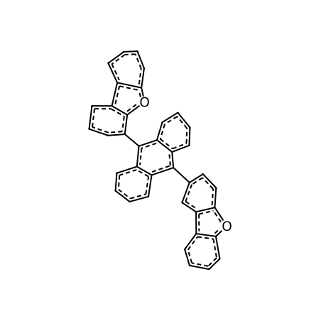 c1ccc2c(c1)oc1ccc(-c3c4ccccc4c(-c4cccc5c4oc4ccccc45)c4ccccc34)cc12